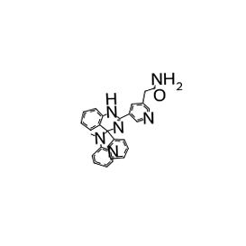 CN(c1ccccn1)C1(c2ccccc2)N=C(c2cncc(CC(N)=O)c2)Nc2ccccc21